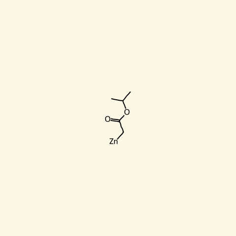 CC(C)OC(=O)[CH2][Zn]